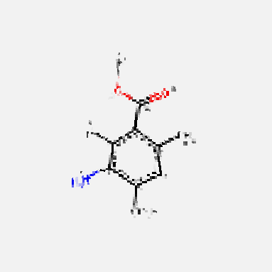 Cc1cc(C(=O)O)c(N)c(C)c1C(=O)OC(C)C